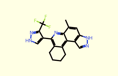 Cc1cc2[nH]ncc2c2c3c(c(-c4c[nH]nc4C(F)(F)F)nc12)CCCC3